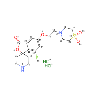 Cl.Cl.O=C1OC2(CCNCC2)c2c(F)cc(OCCN3CCS(=O)(=O)CC3)cc21